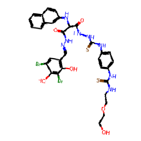 O=C(N/N=C/c1cc(Br)c(O)c(Br)c1O)C(Nc1ccc2ccccc2c1)C(=O)NNC(=S)Nc1ccc(NC(=S)NCCOCCO)cc1